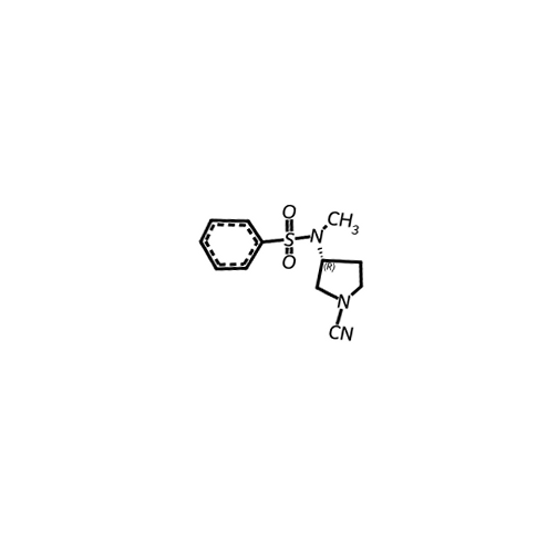 CN([C@@H]1CCN(C#N)C1)S(=O)(=O)c1ccccc1